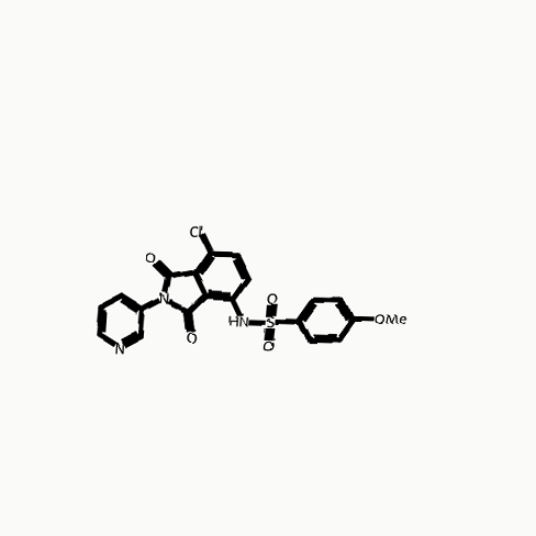 COc1ccc(S(=O)(=O)Nc2ccc(Cl)c3c2C(=O)N(c2cccnc2)C3=O)cc1